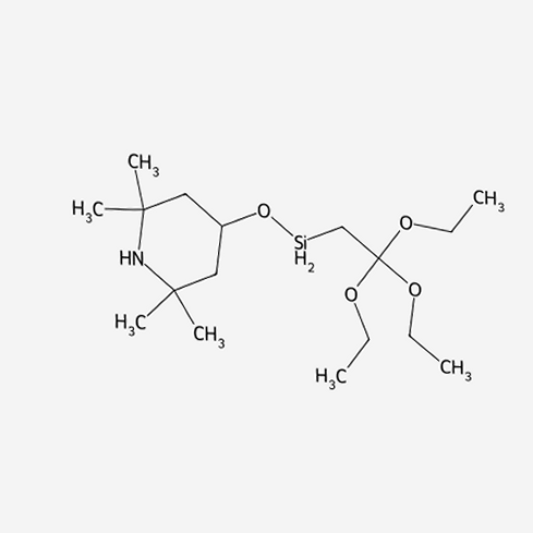 CCOC(C[SiH2]OC1CC(C)(C)NC(C)(C)C1)(OCC)OCC